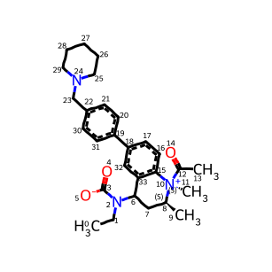 CCN(C(=O)[O-])C1C[C@H](C)[N@+](C)(C(C)=O)c2ccc(-c3ccc(CN4CCCCC4)cc3)cc21